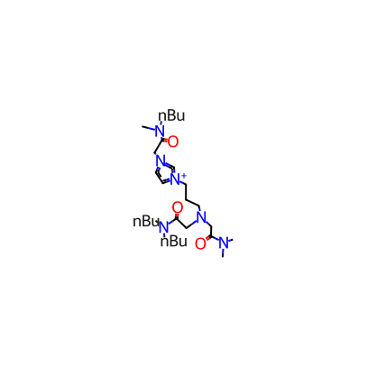 CCCCN(C)C(=O)Cn1cc[n+](CCCN(CC(=O)N(C)C)CC(=O)N(CCCC)CCCC)c1